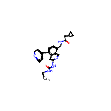 CCNC(=O)Nc1cc2c(-c3ccncc3)ccc(CNC(=O)CC3CC3)c2cn1